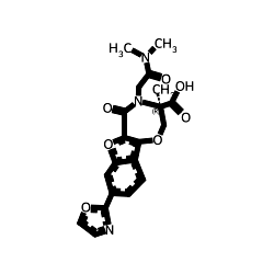 CN(C)C(=O)CN1C(=O)c2oc3cc(-c4ncco4)ccc3c2OC[C@]1(C)C(=O)O